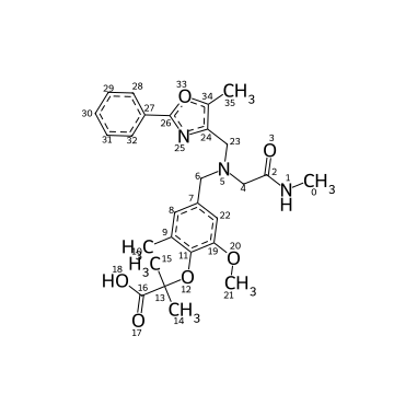 CNC(=O)CN(Cc1cc(C)c(OC(C)(C)C(=O)O)c(OC)c1)Cc1nc(-c2ccccc2)oc1C